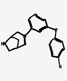 Clc1ccc(Oc2cncc(N3CC4CNC(C4)C3)c2)cc1